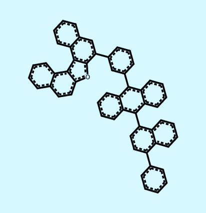 c1ccc(-c2ccc(-c3c4ccccc4c(-c4cccc(-c5cc6ccccc6c6c5oc5ccc7ccccc7c56)c4)c4ccccc34)c3ccccc23)cc1